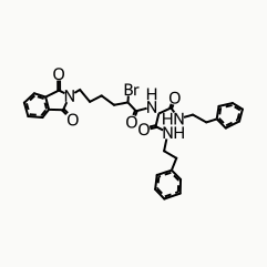 O=C(NC(C(=O)NCCc1ccccc1)C(=O)NCCc1ccccc1)C(Br)CCCCN1C(=O)c2ccccc2C1=O